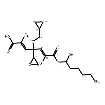 CCCCCC(O)OC(=O)C(C)=CC(C=C(C)C(=O)O)(OCC1CO1)C1CO1